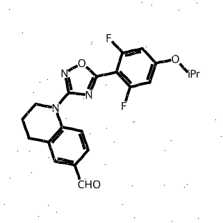 CC(C)Oc1cc(F)c(-c2nc(N3CCCc4cc(C=O)ccc43)no2)c(F)c1